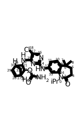 CC(C)N1C(=O)CCC(C)(C)c2ccc(Nc3ncc(Cl)c(N[C@H]4[C@@H](OC(N)=O)[C@@H]5C=C[C@H]4C5)n3)cc21